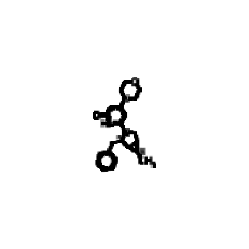 C[C@@H]1C2CN(c3cc(N4CCOCC4)cc(=O)[nH]3)[C@H](Cc3ccccc3)C21